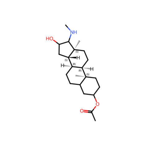 CNC1C(O)C[C@H]2[C@@H]3CCC4CC(OC(C)=O)CC[C@]4(C)[C@@H]3CC[C@]12C